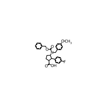 COc1ccc(CN(C(=O)OCc2ccccc2)C2CCC(C(=O)O)C2c2ccc(F)cc2)cc1